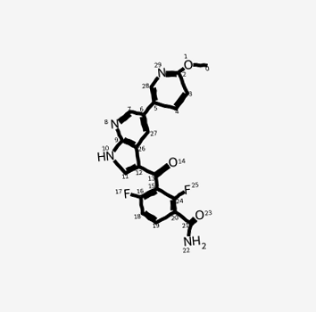 COc1ccc(-c2cnc3[nH]cc(C(=O)c4c(F)ccc(C(N)=O)c4F)c3c2)cn1